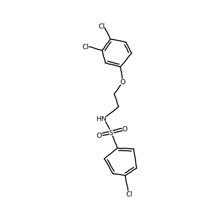 O=S(=O)(NCCOc1ccc(Cl)c(Cl)c1)c1ccc(Cl)cc1